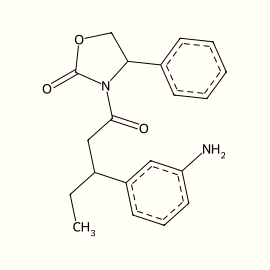 CCC(CC(=O)N1C(=O)OCC1c1ccccc1)c1cccc(N)c1